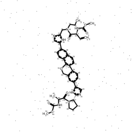 C=C[C@H](NC(=O)OC)C(=O)N(CCC)Cc1ncc(-c2ccc3c4c(ccc3c2)-c2ccc(-c3cnc([C@@H]5CCCN5C(=O)[C@H](C)NC(=O)OC)[nH]3)cc2CO4)[nH]1